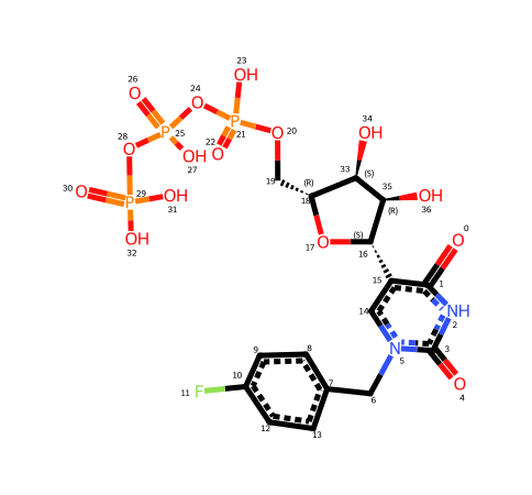 O=c1[nH]c(=O)n(Cc2ccc(F)cc2)cc1[C@@H]1O[C@H](COP(=O)(O)OP(=O)(O)OP(=O)(O)O)[C@@H](O)[C@H]1O